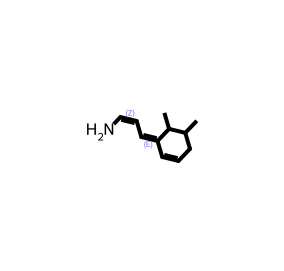 CC1CC=C/C(=C/C=C\N)C1C